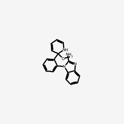 COC1(c2ccccc2-n2c(N)nc3ccccc32)C=CC=CN1